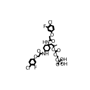 C[C@H](CC1(NC(=O)COc2ccc(Cl)c(F)c2)CCC(NC(=O)COc2ccc(Cl)c(F)c2)CC1)OC(=O)OCOP(=O)(O)O